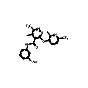 CSc1cccc(NC(=O)c2c(Oc3ccc(C(F)(F)F)nc3C)nnc(C(F)(F)F)c2C)c1